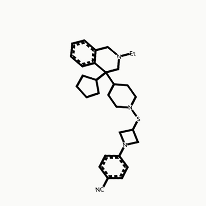 CCN1Cc2ccccc2C(C2CCCC2)(C2CCN(SC3CN(c4ccc(C#N)cc4)C3)CC2)C1